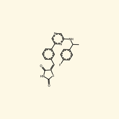 CC(Nc1cncc(-c2cccc(/C=C3/SC(=O)NC3=O)c2)n1)c1ccc(F)cc1